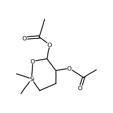 CC(=O)OC1CC[Si](C)(C)OC1OC(C)=O